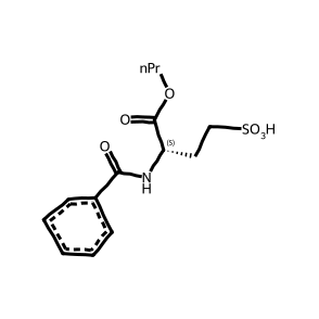 CCCOC(=O)[C@H](CCS(=O)(=O)O)NC(=O)c1ccccc1